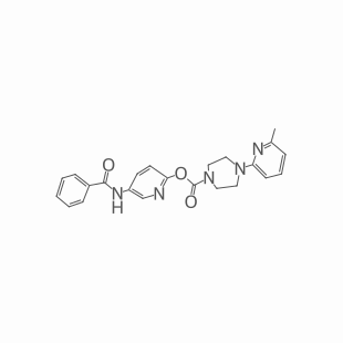 Cc1cccc(N2CCN(C(=O)Oc3ccc(NC(=O)c4ccccc4)cn3)CC2)n1